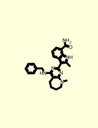 Cc1[nH]c2c(C(N)=O)cccc2c1-c1nc(NCc2ccccc2)c2c(n1)N(C)CCCC2